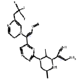 C=N/C=C(/c1cncc(N2CC(C)NC(/C(C=N)=C/N)C2C)n1)N1C=C(CC(F)(F)F)N=CC1